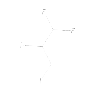 FC(F)C(F)CI